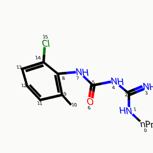 CCCNC(=N)NC(=O)Nc1c(C)cccc1Cl